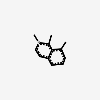 Cc1cccc2cc[n+](C)c(C)c12